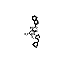 CC(C)C[C@H](NC(=O)c1ccc2ccccc2c1)C(=O)N[C@H]1CCN(Cc2cccnc2)C1